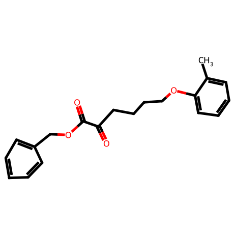 Cc1ccccc1OCCCCC(=O)C(=O)OCc1ccccc1